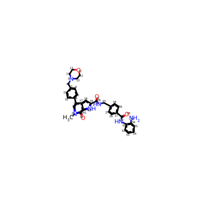 Cn1cc(-c2ccc(CN3CCOCC3)cc2)c2cc(C(=O)NCc3ccc(C(=O)Nc4ccccc4N)cc3)[nH]c2c1=O